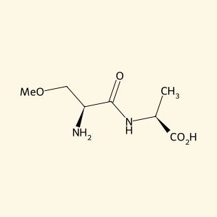 COC[C@H](N)C(=O)N[C@@H](C)C(=O)O